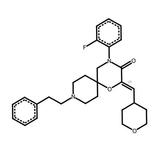 O=C1/C(=C/C2CCOCC2)OC2(CCN(CCc3ccccc3)CC2)CN1c1ccccc1F